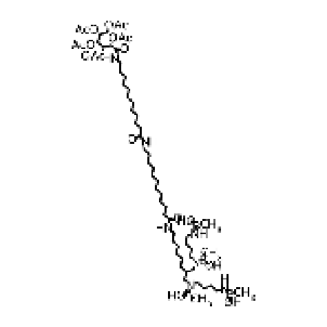 CB(O)NCCCCN(CC(CCCCCCNC(=O)CCCCCCCCCCCNC(=O)CCCCCCCCCCCNC(=O)[C@H](OC(C)=O)[C@@H](OC(C)=O)[C@H](OC(C)=O)[C@@H](COC(C)=O)OC(C)=O)CN(CCCCNB(C)O)B(C)O)B(C)O